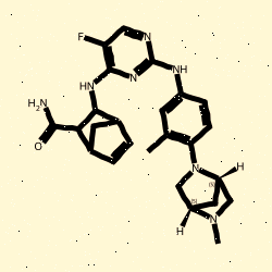 Cc1cc(Nc2ncc(F)c(NC3C4C=CC(C4)C3C(N)=O)n2)ccc1N1C[C@@H]2C[C@H]1CN2C